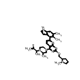 C=C(F)C(O)N1CCN(c2nc(OCC3CCCN3C)nc3nc(-c4c(C)c(C)cc5[nH]ccc45)ccc23)CC1C